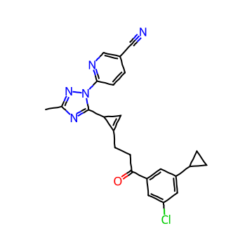 Cc1nc(C2C=C2CCC(=O)c2cc(Cl)cc(C3CC3)c2)n(-c2ccc(C#N)cn2)n1